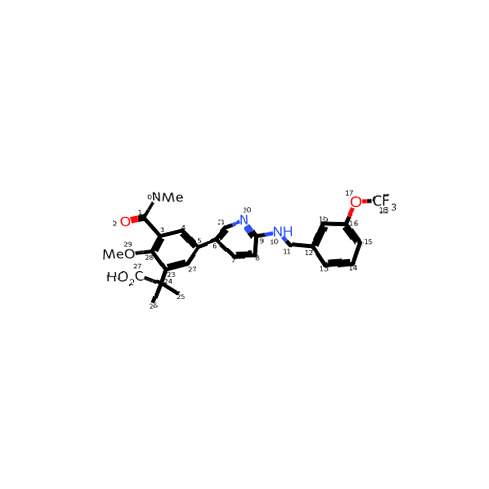 CNC(=O)c1cc(-c2ccc(NCc3cccc(OC(F)(F)F)c3)nc2)cc(C(C)(C)C(=O)O)c1OC